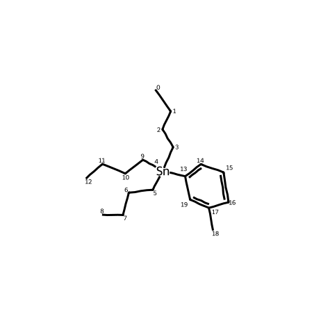 CCC[CH2][Sn]([CH2]CCC)([CH2]CCC)[c]1cccc(C)c1